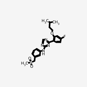 CC(C)CCOc1cc(F)ccc1-c1ncnc(Nc2cccc(CS(C)(=O)=O)c2)n1